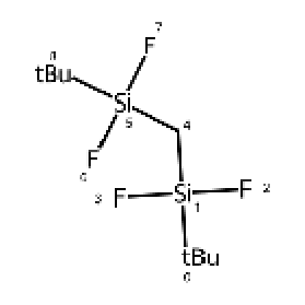 CC(C)(C)[Si](F)(F)C[Si](F)(F)C(C)(C)C